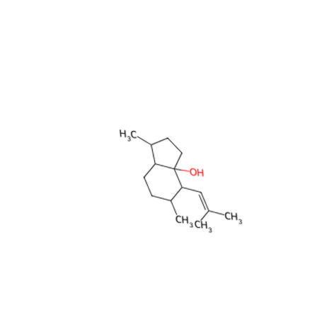 CC(C)=CC1C(C)CCC2C(C)CCC12O